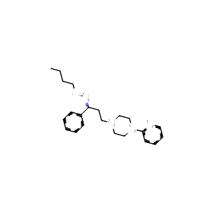 CCCCO/N=C(/CCN1CCN(c2ccccn2)CC1)c1ccccc1